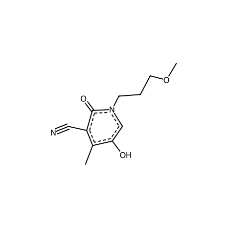 COCCCn1cc(O)c(C)c(C#N)c1=O